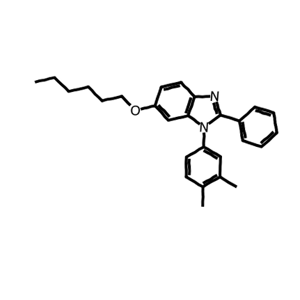 CCCCCCOc1ccc2nc(-c3ccccc3)n(-c3ccc(C)c(C)c3)c2c1